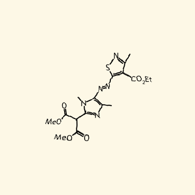 CCOC(=O)c1c(C)nsc1/N=N/c1c(C)nc(C(C(=O)OC)C(=O)OC)n1C